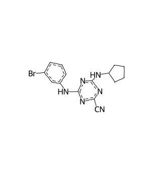 N#Cc1nc(Nc2cccc(Br)c2)nc(NC2CCCC2)n1